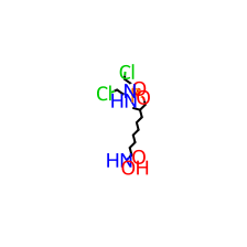 O=C(CCCCCCC1CNP(=O)(N(CCCl)CCCl)OC1)NO